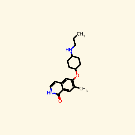 CCCNC1CCC(Oc2cc3cc[nH]c(=O)c3cc2C)CC1